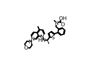 CC1=C2C=CN(N3CCOCC3)C=C2N(N[C@H](C)c2ccc(-c3ccccc3CN(C)C(=O)O)s2)C=C1